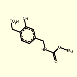 CC(C)(C)OC(=O)NCc1ccc(CC(=O)O)c(O)c1